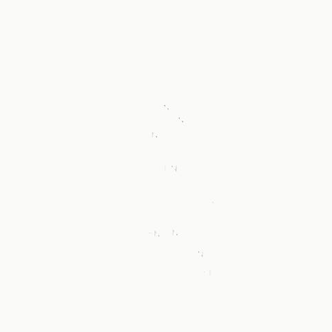 CC1C=C(N(C)C)N(CCC(C=O)NC(=O)c2ncn(Cc3ccccc3)n2)N1